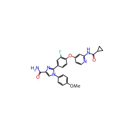 COc1ccc(-n2cc(C(N)=O)nc2-c2ccc(Oc3ccnc(NC(=O)C4CC4)c3)c(F)c2)cc1